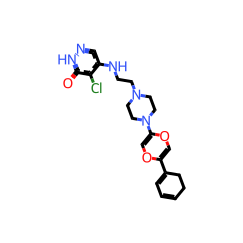 O=c1[nH]ncc(NCCN2CCN(C3=COC(C4=CC=CCC4)=CO3)CC2)c1Cl